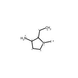 CCC1C(N)CCN1I